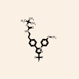 COc1ccc(-n2nc(C(F)(F)F)cc2-c2ccc(CCNC(=O)OC(C)(C)C)cc2)cc1